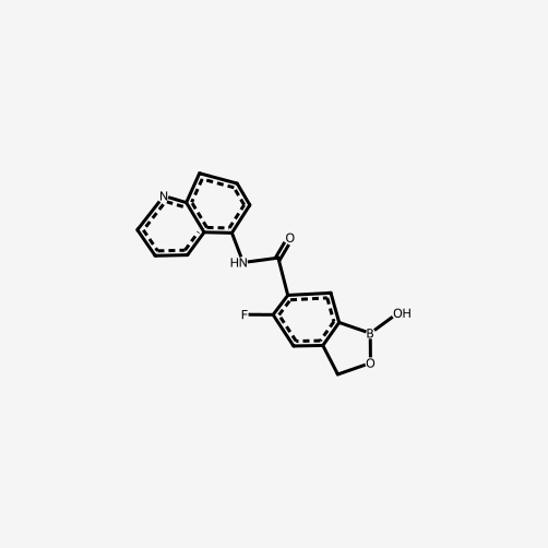 O=C(Nc1cccc2ncccc12)c1cc2c(cc1F)COB2O